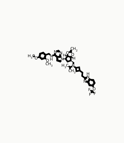 C=C1O[C@@H]2[C@@H](CN(C(C)C)C3CC(CCc4nc5cc(OC(F)(F)F)ccc5[nH]4)C3)C[C@@H](n3ccc4c(NCc5ccc(OC)cc5OC)ncnc43)[C@@H]2O1